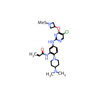 C=CC(=O)Nc1cc(Nc2ncc(Cl)c(OC3CN(SC)C3)n2)ccc1N1CCC(N(C)C)CC1